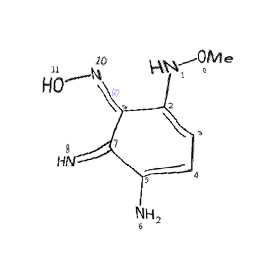 CONC1=CC=C(N)C(=N)/C1=N\O